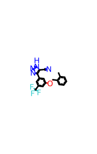 Cc1ccccc1COc1cc(-c2nn[nH]c2C#N)cc(C(F)(F)F)c1